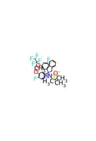 COc1cc([C@@](Cc2ccccc2)(N[S@+]([O-])C(C)(C)C)c2cc(F)cc(OC(F)(F)C(F)F)c2)ccc1F